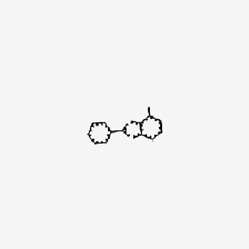 Sc1cccc2sc(-c3ccccc3)nc12